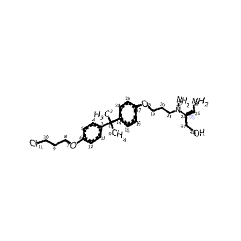 CC(C)(c1ccc(OCCCCl)cc1)c1ccc(OCCCN(N)/C(=C\N)CO)cc1